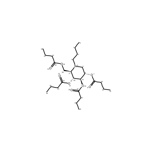 CCCCN1C[C@H](OC(=O)CCC)[C@@H](OC(=O)CCC)[C@H](OC(=O)CCC)[C@H]1COC(=O)CCC